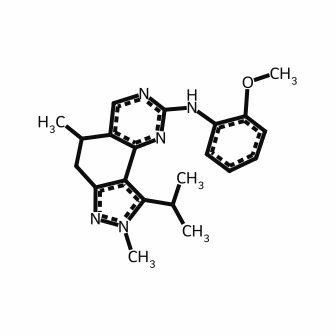 COc1ccccc1Nc1ncc2c(n1)-c1c(nn(C)c1C(C)C)CC2C